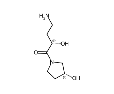 NCC[C@H](O)C(=O)N1CC[C@@H](O)C1